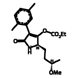 CCOC(=O)OC1=C(c2cc(C)ccc2C)C(=O)N[C@@H]1CC[C@H](C)OC